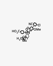 COc1cn(C(CC2CCC(O[Si](C)(C)C(C)(C)C)CC2)C(=O)Nc2ccc(C(=O)O)cc2)c(=O)cc1-c1cc(Cl)ccc1C#N